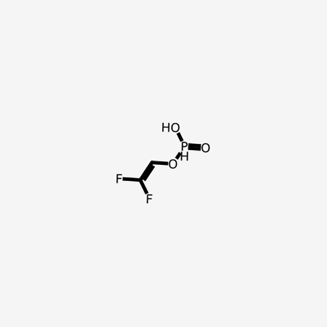 O=[PH](O)OC=C(F)F